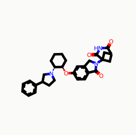 O=C1NC(=O)C2(N3Cc4cc(O[C@@H]5CCCC[C@H]5N5CCC(c6ccccc6)C5)ccc4C3=O)CC1C2